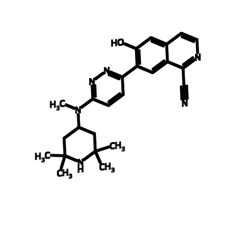 CN(c1ccc(-c2cc3c(C#N)nccc3cc2O)nn1)C1CC(C)(C)NC(C)(C)C1